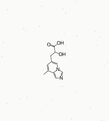 Cc1cc(CC(O)C(=O)O)cn2cncc12